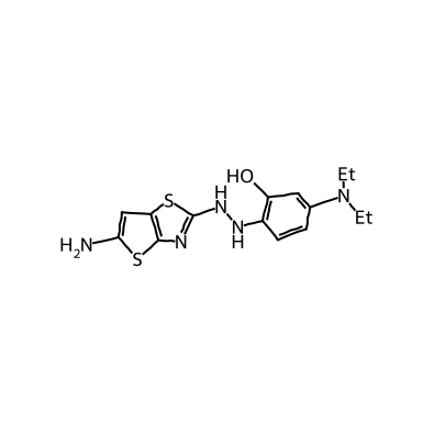 CCN(CC)c1ccc(NNc2nc3sc(N)cc3s2)c(O)c1